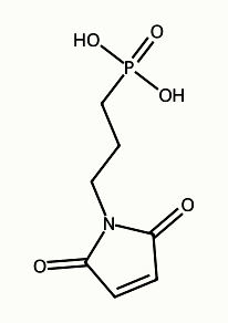 O=C1C=CC(=O)N1CCCP(=O)(O)O